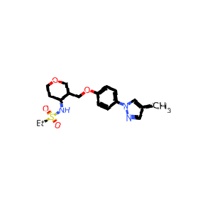 CCS(=O)(=O)NC1CCOCC1COc1ccc(-n2cc(C)cn2)cc1